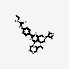 CCNC(=O)Nc1ccc(-c2nc3c(c(N4CCOCC4CC)n2)CCN(C2COC2)C3)cc1